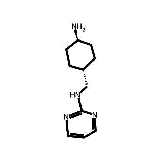 N[C@H]1CC[C@H](CNc2ncccn2)CC1